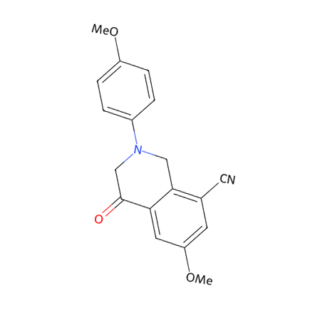 COc1ccc(N2CC(=O)c3cc(OC)cc(C#N)c3C2)cc1